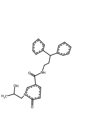 CC(O)Cn1cc(C(=O)NCCC(c2ccccc2)c2ccccc2)ccc1=O